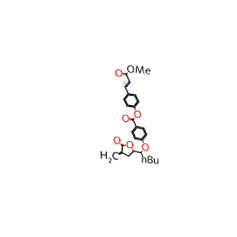 C=C1CC(C(CCCC)Oc2ccc(C(=O)Oc3ccc(/C=C/C(=O)OC)cc3)cc2)OC1=O